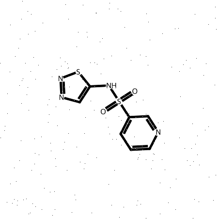 O=S(=O)(Nc1cnns1)c1cccnc1